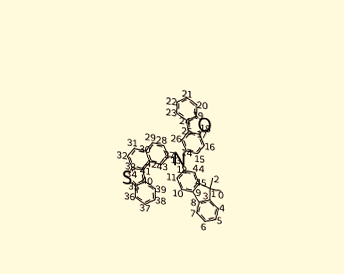 CC1(C)c2ccccc2-c2ccc(N(c3ccc4oc5ccccc5c4c3)c3ccc4ccc5sc6ccccc6c5c4c3)cc21